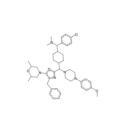 COc1ccc(N2CCN(C(c3nc(Cc4ccccc4)c(N4CC(C)OC(C)C4)o3)C3CCC(C(c4ccc(Cl)cc4)N(C)C)CC3)CC2)cc1